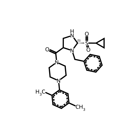 Cc1ccc(C)c(N2CCN(C(=O)C3CN[C@H](S(=O)(=O)C4CC4)N3Cc3ccccc3)CC2)c1